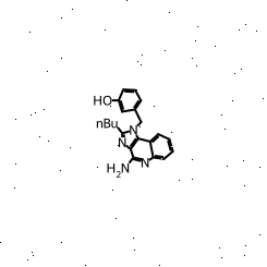 CCCCc1nc2c(N)nc3ccccc3c2n1Cc1cccc(O)c1